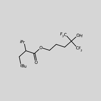 CC(C)C(CC(C)(C)C)C(=O)OCCCC(O)(C(F)(F)F)C(F)(F)F